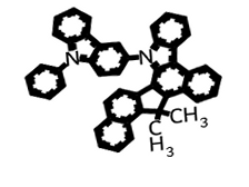 CC1(C)c2c(ccc3ccccc23)-c2c1c1ccccc1c1c3ccccc3n(-c3ccc4c(c3)c3ccccc3n4-c3ccccc3)c21